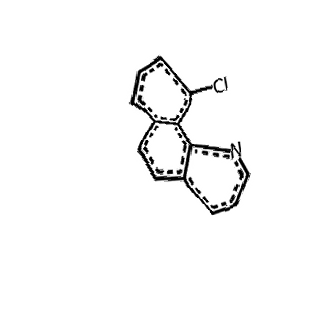 Clc1cccc2ccc3cccnc3c12